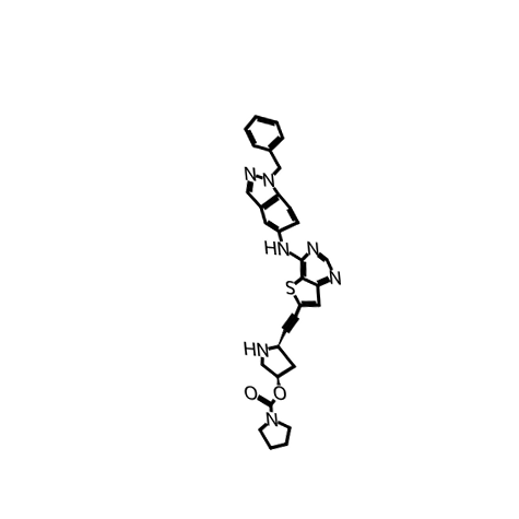 O=C(O[C@H]1CN[C@@H](C#Cc2cc3ncnc(Nc4ccc5c(cnn5Cc5ccccc5)c4)c3s2)C1)N1CCCC1